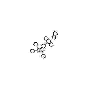 c1ccc(-c2nn3c(-c4ccccc4)cc4cc(-c5c6ccccc6c(-c6ccc7ccccc7c6)c6ccccc56)ccc4c3c2-c2ccccc2)cc1